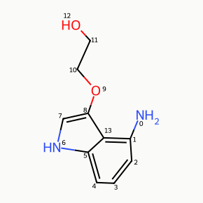 Nc1cccc2[nH]cc(OCCO)c12